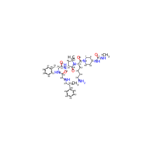 CNC(=O)NC1CCN(C(=O)[C@@H](CCCCN)N2C(=O)[C@H](NC(=O)[C@@H](Cc3ccccc3)NC(=O)CNC[C@H](C)c3ccccc3)CC2C)CC1